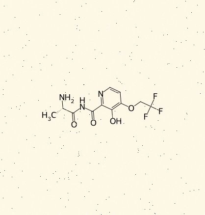 C[C@H](N)C(=O)NC(=O)c1nccc(OCC(F)(F)F)c1O